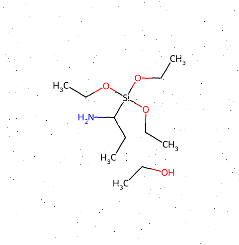 CCO.CCO[Si](OCC)(OCC)C(N)CC